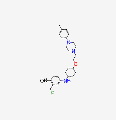 Cc1ccc(N2CCN(CCOC3CCC(Nc4ccc(N=O)c(CF)c4)CC3)CC2)cc1